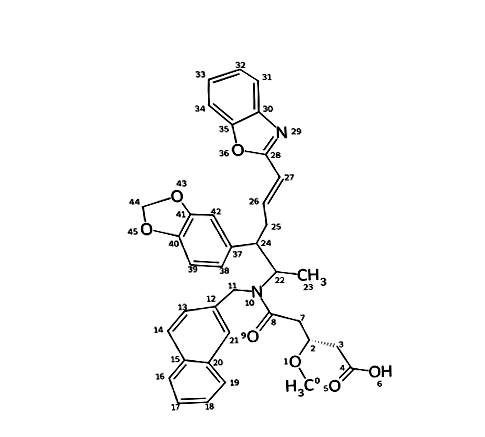 CO[C@@H](CC(=O)O)CC(=O)N(Cc1ccc2ccccc2c1)C(C)C(C/C=C/c1nc2ccccc2o1)c1ccc2c(c1)OCO2